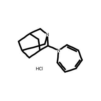 C1=CC=CN(C2C3CC4CC(C3)CN2C4)C=C1.Cl